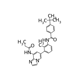 CCC(=O)Nc1cc(-c2cccc(NC(=O)c3ccc(C(C)(C)C)cc3)c2C)cn2ccnc12